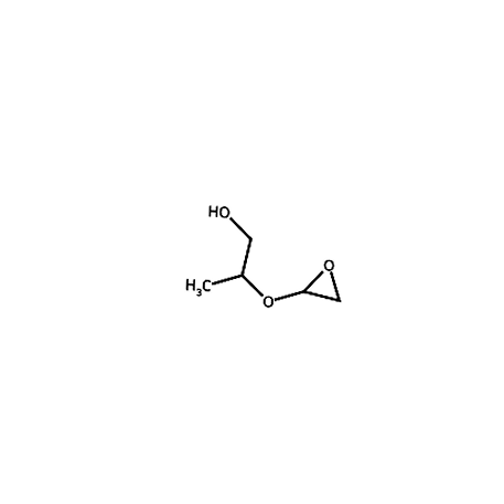 CC(CO)OC1CO1